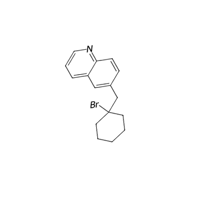 BrC1(Cc2ccc3ncccc3c2)CCCCC1